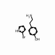 Brc1ccc[nH]1.NCCc1ccc(O)cc1